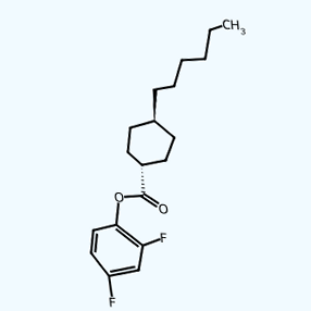 CCCCCC[C@H]1CC[C@H](C(=O)Oc2ccc(F)cc2F)CC1